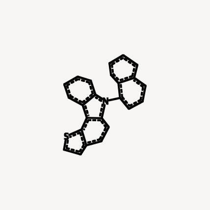 c1ccc2c(-n3c4ccccc4c4c5sccc5ccc43)cccc2c1